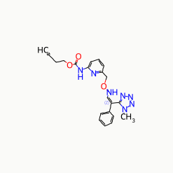 C#CCCOC(=O)Nc1cccc(CON/C=C(/c2ccccc2)c2nnnn2C)n1